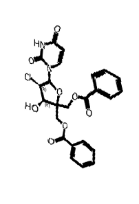 O=C(OCC1(COC(=O)c2ccccc2)OC(n2ccc(=O)[nH]c2=O)[C@H](Cl)[C@@H]1O)c1ccccc1